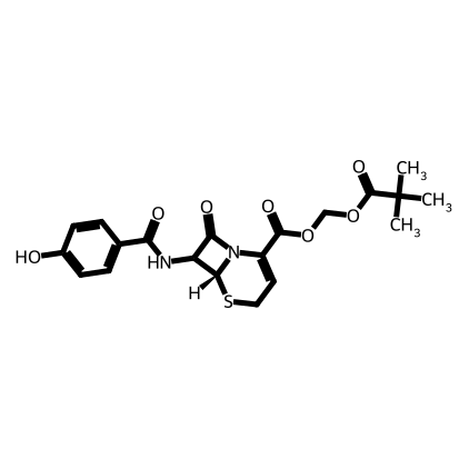 CC(C)(C)C(=O)OCOC(=O)C1=CCS[C@@H]2C(NC(=O)c3ccc(O)cc3)C(=O)N12